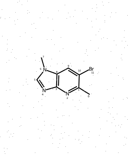 Cc1nc2ncn(C)c2cc1Br